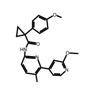 COc1ccc(C2(C(=O)Nc3ccc(C)c(-c4ccnc(OC)c4)n3)CC2)cc1